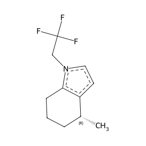 C[C@@H]1CCCc2c1ccn2CC(F)(F)F